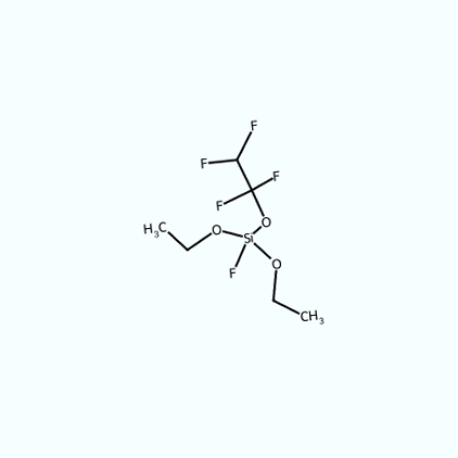 CCO[Si](F)(OCC)OC(F)(F)C(F)F